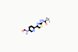 CC(=O)Nc1nc(-c2ccc(NC=O)cn2)cs1